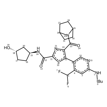 CC(C)(C)Nc1cc(C(F)F)c(-c2sc(C(=O)N[C@H]3CC[C@H](O)C3)nc2C(=O)N2C3CCC2CC3)cn1